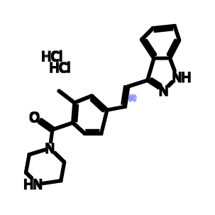 Cc1cc(/C=C/c2n[nH]c3ccccc23)ccc1C(=O)N1CCNCC1.Cl.Cl